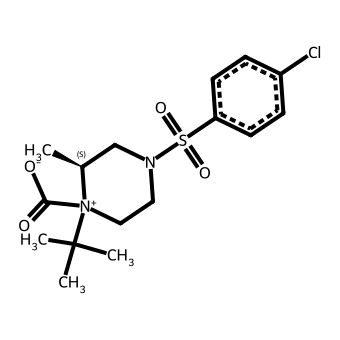 C[C@H]1CN(S(=O)(=O)c2ccc(Cl)cc2)CC[N+]1(C(=O)[O-])C(C)(C)C